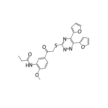 CCC(=O)Nc1cc(C(=O)CSc2nnc(-c3ccco3)c(-c3ccco3)n2)ccc1OC